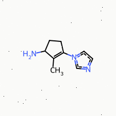 CC1=C(n2ccnc2)CCC1N